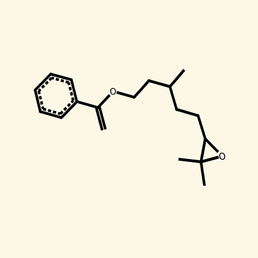 C=C(OCCC(C)CCC1OC1(C)C)c1ccccc1